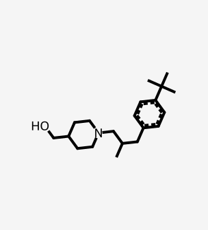 CC(Cc1ccc(C(C)(C)C)cc1)CN1CCC(CO)CC1